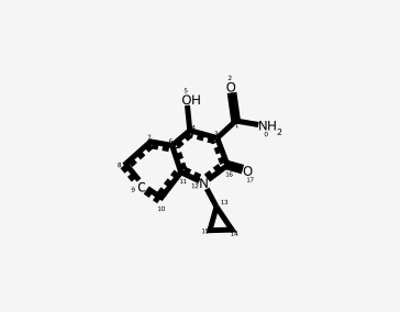 NC(=O)c1c(O)c2ccccc2n(C2CC2)c1=O